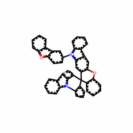 c1ccc2c(c1)Oc1cc3c4ccccc4n(-c4ccc5oc6ccccc6c5c4)c3cc1C21c2ccccc2-n2c3ccccc3c3cccc1c32